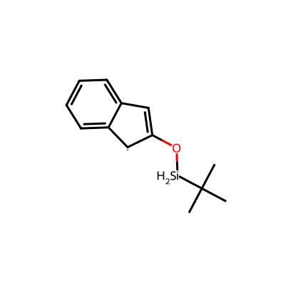 CC(C)(C)[SiH2]OC1=Cc2ccccc2[CH]1